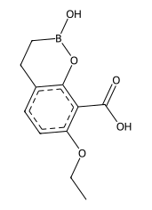 CCOc1ccc2c(c1C(=O)O)OB(O)CC2